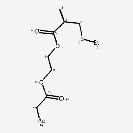 CCSCC(C)C(=O)OCCOC(=O)CC(C)=O